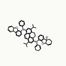 CC(C)c1cc(N(c2ccccc2)c2cccc3c2OC2C=CC=CC32)c2ccc3c(C(C)C)cc(N(C4=CCCC=C4)c4cccc5c4OC4C=CCC[C@@H]54)c4c3c2c1CC4